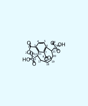 O=C(Cl)c1ccc2c(C(=O)Cl)c1C(S(=O)(=O)O)CCCCC2S(=O)(=O)O